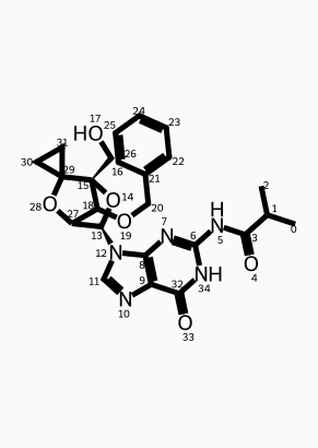 CC(C)C(=O)Nc1nc2c(ncn2[C@@H]2O[C@]3(CO)C(OCc4ccccc4)C2OC32CC2)c(=O)[nH]1